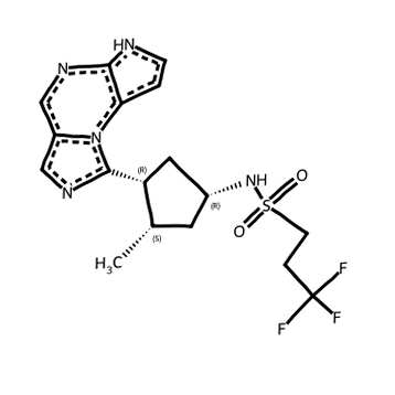 C[C@H]1C[C@@H](NS(=O)(=O)CCC(F)(F)F)C[C@H]1c1ncc2cnc3[nH]ccc3n12